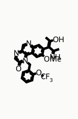 COc1cc2c(cc1/C(C(C)=N)=C(\C)O)ncc1ncc(=O)n(Cc3ccccc3OC(F)(F)F)c12